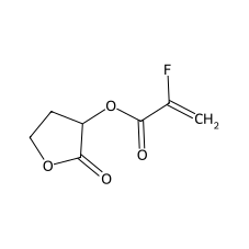 C=C(F)C(=O)OC1CCOC1=O